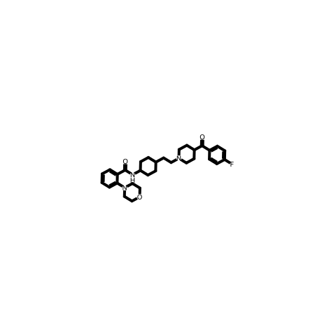 O=C(NC1CCC(CCN2CCC(C(=O)c3ccc(F)cc3)CC2)CC1)c1ccccc1N1CCOCC1